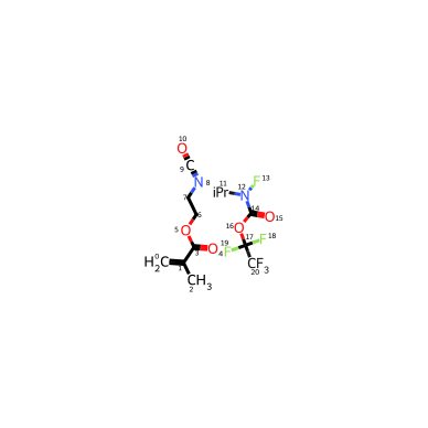 C=C(C)C(=O)OCCN=C=O.CC(C)N(F)C(=O)OC(F)(F)C(F)(F)F